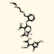 N=CNCCSCc1cnccc1SC1=C(C(=O)O)N2C(=O)[C@@H](NC(=O)/C(=N\O)c3nc(N)sc3Cl)[C@@H]2SC1